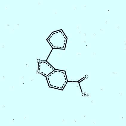 CC(C)(C)C(=O)c1ccc2noc(-c3ccccc3)c2c1